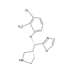 Cc1c(Cl)cccc1O[C@H](c1ncco1)[C@@H]1CCNC1